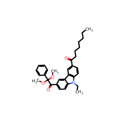 CCCCCCCC(=O)c1ccc2c(c1)c1cc(C(=O)C(OC)(OC)c3ccccc3)ccc1n2CC